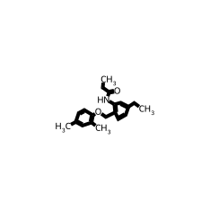 CCC(=O)Nc1cc(CC)ccc1COc1ccc(C)cc1C